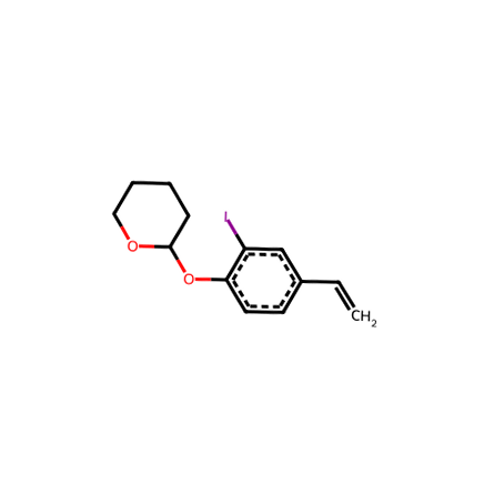 C=Cc1ccc(OC2CCCCO2)c(I)c1